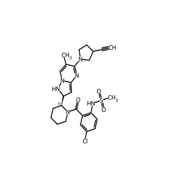 C#CC1CCN(C2=NC3=CC([C@@H]4CCCCN4C(=O)c4cc(Cl)ccc4NS(C)(=O)=O)NN3C=C2C)C1